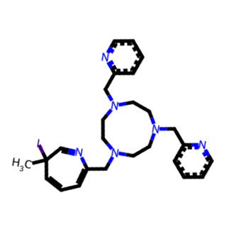 CC1(I)C=CC=C(CN2CCN(Cc3ccccn3)CCN(Cc3ccccn3)CC2)N=C1